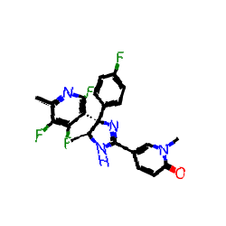 Cc1nc(F)c([C@]2(c3ccc(F)cc3)N=C(c3ccc(=O)n(C)c3)N[C@H]2C)c(F)c1F